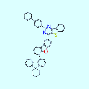 c1ccc(-c2ccc(-c3nc(-c4ccc5oc6c(-c7cccc8c7-c7ccccc7C87CCCCC7)cccc6c5c4)c4sc5ccccc5c4n3)cc2)cc1